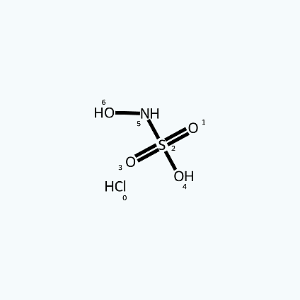 Cl.O=S(=O)(O)NO